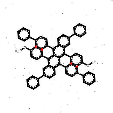 COc1ccc(-c2c3cc(-c4ccccc4)ccc3c(-c3ccc(-c4ccccc4)cc3)c3c(-c4ccc(OC)cc4)c4cc(-c5ccccc5)ccc4c(-c4ccc(-c5ccccc5)cc4)c23)cc1